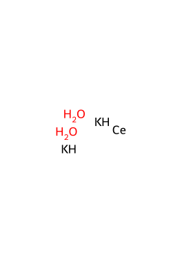 O.O.[Ce].[KH].[KH]